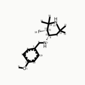 COc1ccc(CN[C@H]2CC(C)(C)NC(C)(C)[C@H]2F)cc1